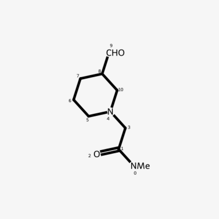 CNC(=O)CN1CCCC(C=O)C1